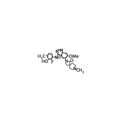 COc1cc2ncnc(Nc3ccc(C)c(O)c3F)c2cc1N1CCC2(CCN(C)CC2)C1=O